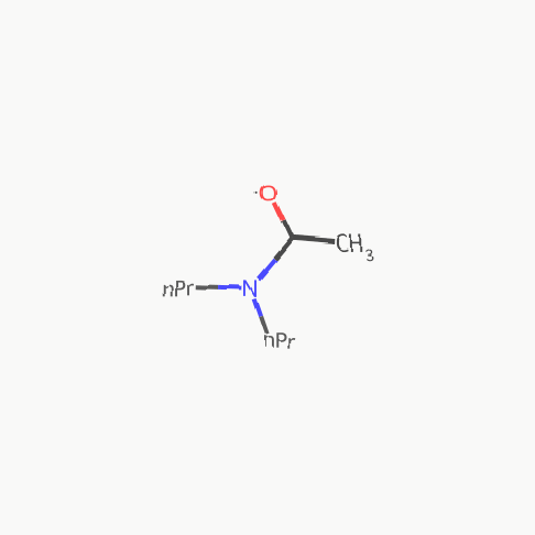 CCCN(CCC)C(C)[O]